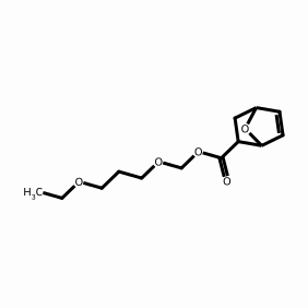 CCOCCCOCOC(=O)C1CC2C=CC1O2